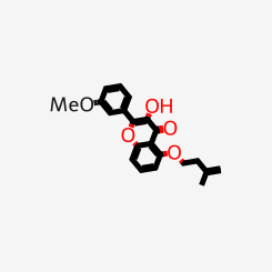 C=C(C)CCOc1cccc2oc(-c3cccc(OC)c3)c(O)c(=O)c12